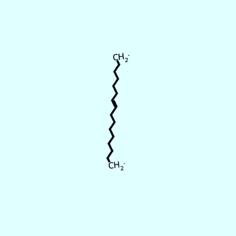 [CH2]CCCCCC=CCCCCCCC[CH2]